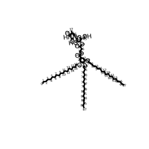 CCCCCCCCCCCCCCCCCCOc1cc(C(=O)OCCC(=O)O[C@H]2[C@@H](O)[C@H](n3cc(C)c(=O)[nH]c3=O)O[C@@H]2CO)cc(OCCCCCCCCCCCCCCCCCC)c1OCCCCCCCCCCCCCCCCCC